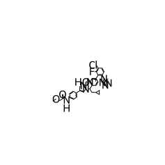 COCC(=O)Nc1ccc(-c2cnn(C(CC3CC3)c3ccc(-c4c(-n5cnnn5)ccc(Cl)c4F)c[n+]3O)c2)cc1